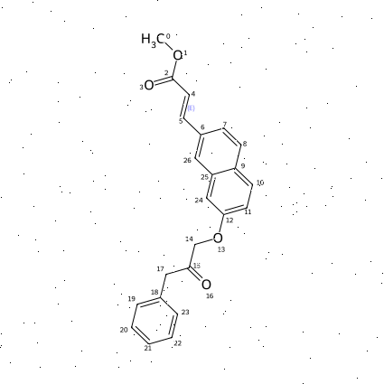 COC(=O)/C=C/c1ccc2ccc(OCC(=O)Cc3ccccc3)cc2c1